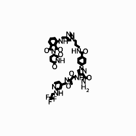 NC(=O)c1nn(-c2ccc(C(=O)NCCCn3cc(CNc4cccc5c4C(=O)N(C4CCC(=O)NC4=O)C5=O)nn3)cc2)cc1NC(=O)c1coc(-c2ccnc(NCC(F)(F)F)c2)n1